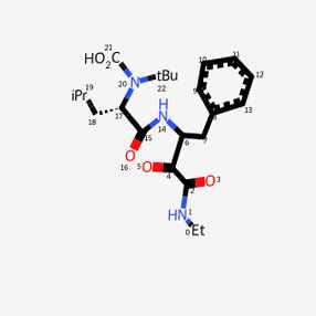 CCNC(=O)C(=O)C(Cc1ccccc1)NC(=O)[C@H](CC(C)C)N(C(=O)O)C(C)(C)C